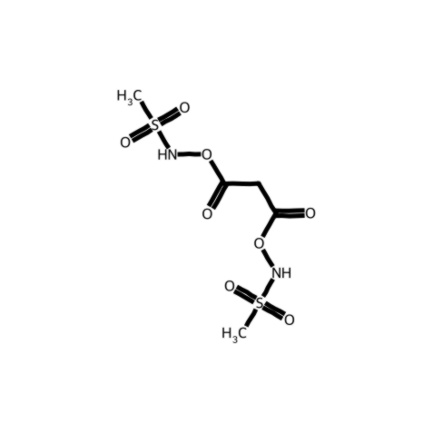 CS(=O)(=O)NOC(=O)CC(=O)ONS(C)(=O)=O